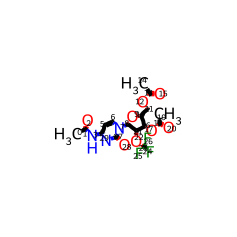 CC(=O)Nc1ccn(C2OC(COC(C)=O)C(OC(C)=O)C2OC(F)(F)F)c(=O)n1